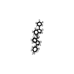 C1=C(c2ccccc2)c2cccc(Sc3cccc4c3CC=C4c3ccccc3)c2C1